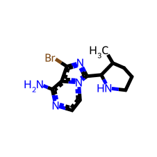 CC1CCCNC1c1nc(Br)c2c(N)nccn12